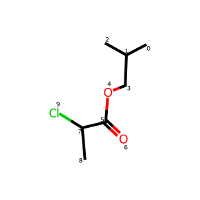 CC(C)COC(=O)C(C)Cl